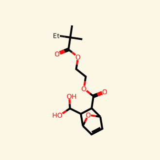 CCC(C)(C)C(=O)OCCOC(=O)C1C2C=CC(O2)C1C(O)O